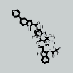 CC(C)(C)[C@H](NC(=O)c1[nH]c2ccccc2c1OC(=O)C(F)(F)F)C(=O)N1C[C@@H]2C[C@H]1CN2C(=O)c1cc2cc(-c3ccncc3)ccc2[nH]1